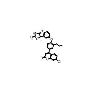 CCCc1cc(-c2cc(=O)oc3cc(Cl)ccc23)ccc1Oc1cccc([C@@]2(C)OC(=O)NC2=O)c1